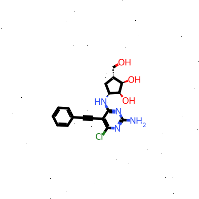 Nc1nc(Cl)c(C#Cc2ccccc2)c(N[C@@H]2C[C@H](CO)[C@@H](O)[C@H]2O)n1